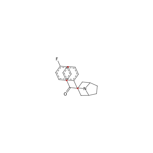 O=C(c1ccc(F)cc1)C1CC2CCC(C1)N2Cc1ccccc1